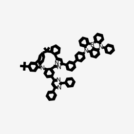 CC(C)(C)c1ccc2c(c1)c1cc3ccc1n2-c1ccc(-c2cc(-c4ccccc4)nc(-c4ccccc4)n2)cc1-c1nc(-c2cccc(-c4ccc(N5c6ccccc6B6c7ccccc7N(c7ccccc7)c7cccc5c76)cc4)c2)cc(n1)-c1ccccc1C3(C)C